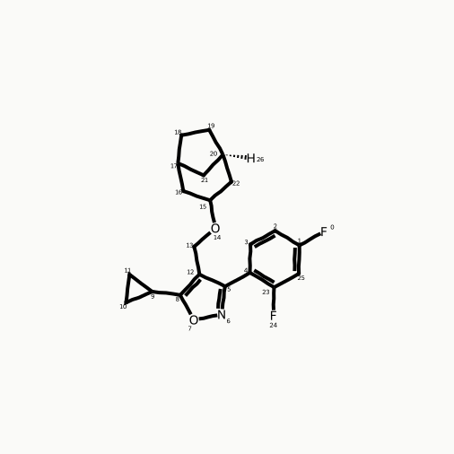 Fc1ccc(-c2noc(C3CC3)c2COC2CC3CC[C@H](C3)C2)c(F)c1